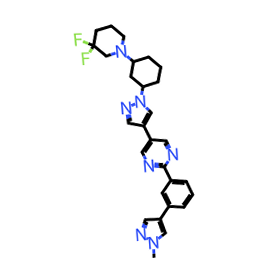 Cn1cc(-c2cccc(-c3ncc(-c4cnn(C5CCCC(N6CCCC(F)(F)C6)C5)c4)cn3)c2)cn1